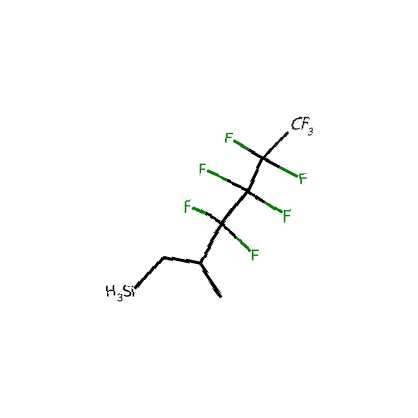 CC(C[SiH3])C(F)(F)C(F)(F)C(F)(F)C(F)(F)F